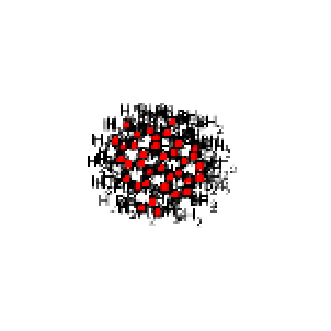 BB(B)B(B(B)B)B(B(B)B)B(B(B(B)B)B(B)B)B(B(B(B(B)B)B(B)B)B(B(B)B)B(B)B)B(B(B(B(B(B)B)B(B)B)B(B(B)B)B(B)B)B(B(B(B)B)B(B)B)B(B(B)B)B(B)B)B(B(B(B(B(B)B)B(B)B)B(B(B)B)B(B)B)B(B(B(B)B)B(B)B)B(B(B)B)B(B)B)B(B(B(B(B)B)B(B)B)B(B(B)B)B(B)B)B(B(B(B)B)B(B)B)B(B(B)B)B(B)B